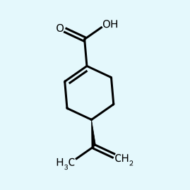 C=C(C)[C@H]1CC=C(C(=O)O)CC1